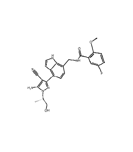 COc1ccc(F)cc1C(=O)NCc1ccc(-c2nn([C@@H](C)CO)c(N)c2C#N)c2cc[nH]c12